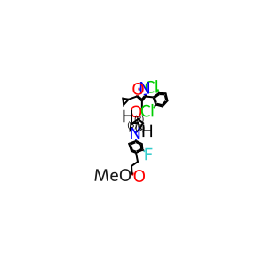 COC(=O)CCc1ccc(N2C[C@@H]3C[C@H]2C[C@H]3OCc2c(-c3c(Cl)cccc3Cl)noc2C2CC2)cc1F